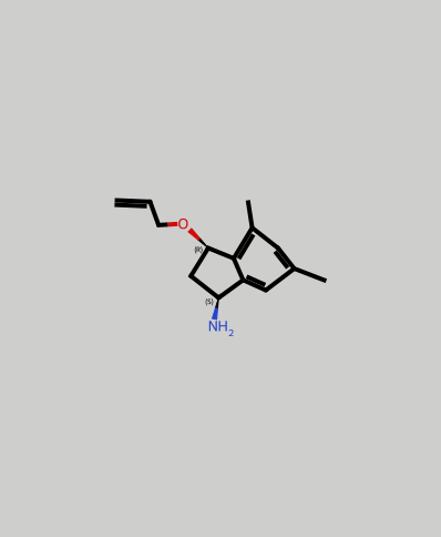 C=CCO[C@@H]1C[C@H](N)c2cc(C)cc(C)c21